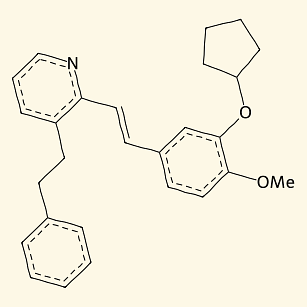 COc1ccc(C=Cc2ncccc2CCc2ccccc2)cc1OC1CCCC1